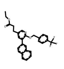 CCOC(=O)CCc1cnc(OCc2ccc(C(F)(F)F)cc2)c(-c2ccc3ccccc3c2)c1